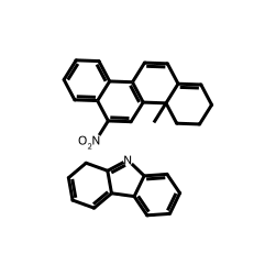 C1=CCC2=Nc3ccccc3C2=C1.CC12CCCC=C1C=Cc1c2cc([N+](=O)[O-])c2ccccc12